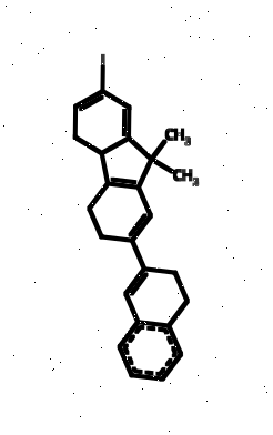 CC1(C)C2=CC(I)=CCC2C2=C1C=C(C1=Cc3ccccc3CC1)CC2